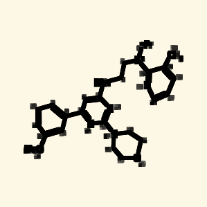 CCCN(CCNc1cc(-c2cccc(OC)c2)nc(N2CCOCC2)n1)c1ncccc1C